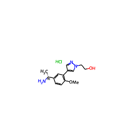 COc1ccc([C@@H](C)N)cc1-c1cnn(CCO)c1.Cl